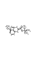 COC1=C2C=CC3=C(C2)C(=C1)CN(C(=O)OC(C)(C)C)C3